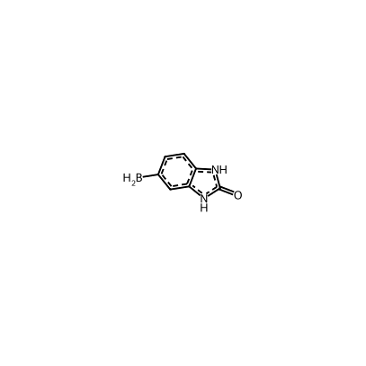 Bc1ccc2[nH]c(=O)[nH]c2c1